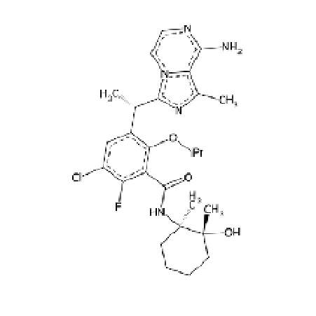 Cc1nc([C@@H](C)c2cc(Cl)c(F)c(C(=O)N[C@]3(C)CCCC[C@@]3(C)O)c2OC(C)C)n2ccnc(N)c12